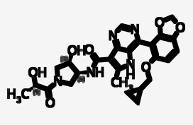 Cc1[nH]c2c(-c3c(OCC4CC4)ccc4c3OCO4)ncnc2c1C(=O)N[C@H]1CN(C(=O)[C@H](C)O)C[C@H]1O